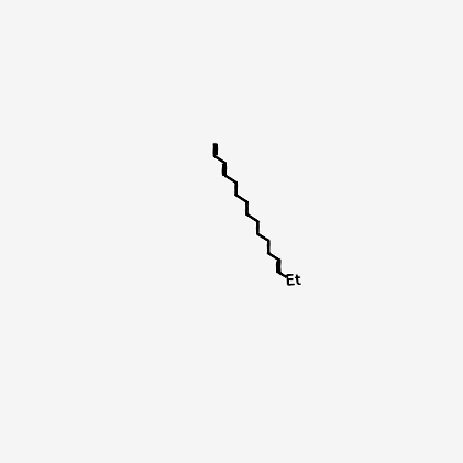 C=CC=CCCCCCCCCC=CCC